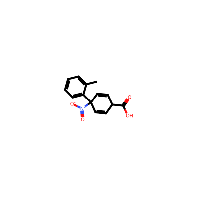 Cc1ccccc1C1([N+](=O)[O-])C=CC(C(=O)O)C=C1